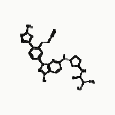 Cc1nnc(-c2ccc(-n3nc(Br)c4cnc(N[C@@H]5CC[C@@H](NC(=O)C(C)C)C5)nc43)cc2CCC#N)s1